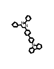 C1=CCC(C2=NC(c3ccccc3)CC(c3ccc(-c4ccc(-n5c6ccccc6c6ccccc65)cc4)cc3)=N2)C=C1